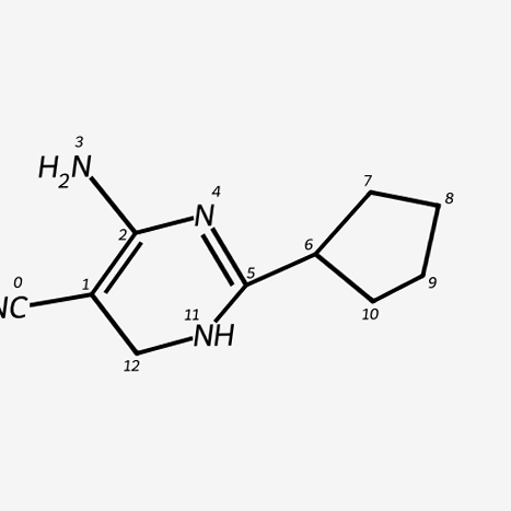 N#CC1=C(N)N=C(C2CCCC2)NC1